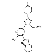 COCc1nn(C2CCN(C)CC2)cc1-c1cnc(N)c(-c2nc3ccccc3o2)c1